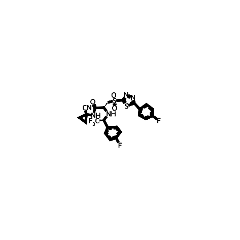 N#CC1(NC(=O)[C@H](CS(=O)(=O)c2nnc(-c3ccc(F)cc3)s2)N[C@@H](c2ccc(F)cc2)C(F)(F)F)CC1